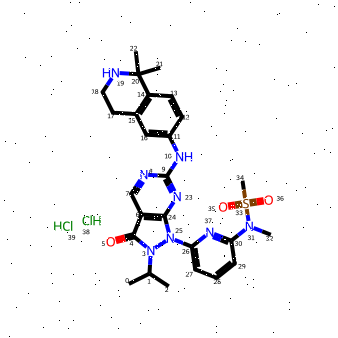 CC(C)n1c(=O)c2cnc(Nc3ccc4c(c3)CCNC4(C)C)nc2n1-c1cccc(N(C)S(C)(=O)=O)n1.Cl.Cl